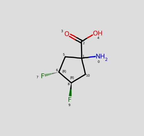 NC1(C(=O)O)C[C@@H](F)[C@H](F)C1